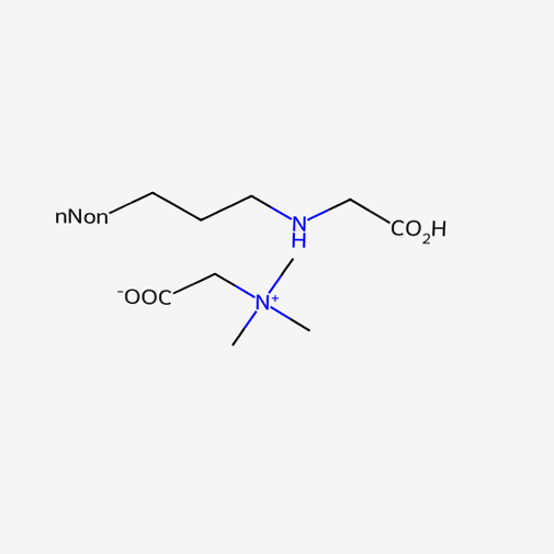 CCCCCCCCCCCCNCC(=O)O.C[N+](C)(C)CC(=O)[O-]